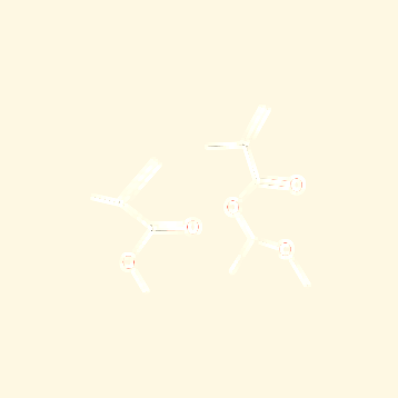 C=C(C)C(=O)OC.C=C(C)C(=O)OC(C)OC